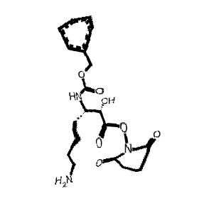 NCCCC[C@H](NC(=O)OCc1ccccc1)[C@H](O)C(=O)ON1C(=O)CCC1=O